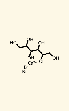 OCC(O)C(O)C(O)C(O)CO.[Br-].[Br-].[Ca+2]